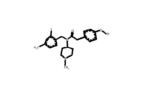 Cc1ccc(CN(C(=O)Cc2ccc(OC(C)C)cc2)C2CCN(C)CC2)c(F)c1